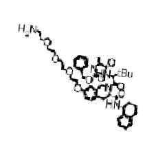 CC(C(=O)NC(C(=O)N1Cc2cc(OCCOCCOCCOCCN)ccc2C[C@H]1C(=O)N[C@@H]1CCCc2ccccc21)C(C)(C)C)N(C)C(=O)OCc1ccccc1